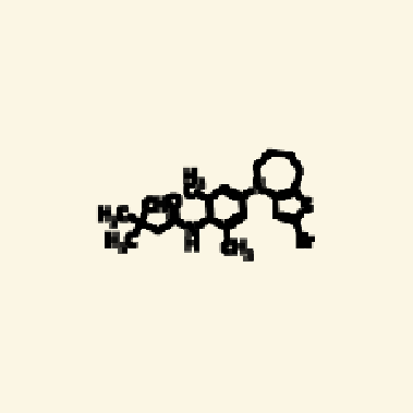 Cc1cc(N2CCCCc3sc(Br)cc32)cc(C)c1NC(=O)CC(C)(C)C